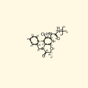 C[C@H]1Oc2nc(NC(=O)NC(C)(C)C)c(Cl)cc2N(Cc2ccccc2)C1=O